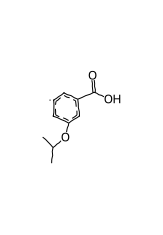 CC(C)Oc1c[c]cc(C(=O)O)c1